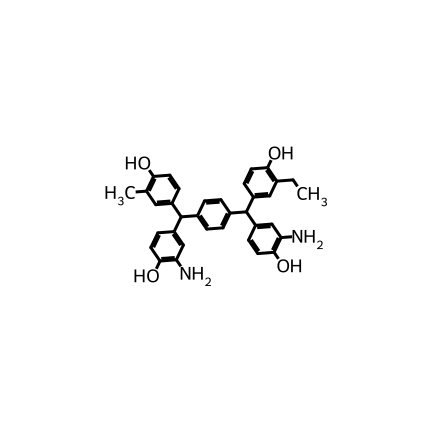 CCc1cc(C(c2ccc(C(c3ccc(O)c(C)c3)c3ccc(O)c(N)c3)cc2)c2ccc(O)c(N)c2)ccc1O